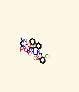 Cc1cc(C)nc(O[C@H](C(=O)O)[C@@]2(c3ccccc3)NCC(=O)N(Cc3c(Cl)cccc3Cl)c3ccccc32)n1